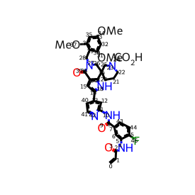 C=CC(=O)Nc1cc(C(=O)Nc2cc(-c3cc4c([nH]3)C3(CCCN(C(=O)O)C3)CN(Cc3c(OC)cc(OC)cc3OC)C4=O)ccn2)ccc1F